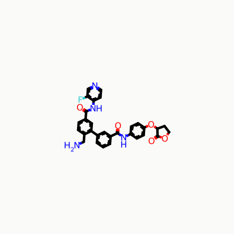 NCc1ccc(C(=O)Nc2ccncc2F)cc1-c1cccc(C(=O)Nc2ccc(OC3CCOC3=O)cc2)c1